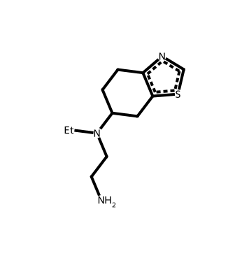 CCN(CCN)C1CCc2ncsc2C1